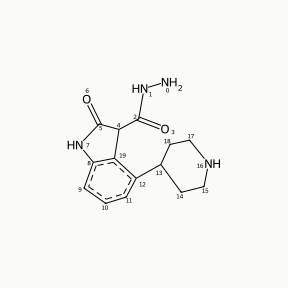 NNC(=O)C1C(=O)Nc2cccc(C3CCNCC3)c21